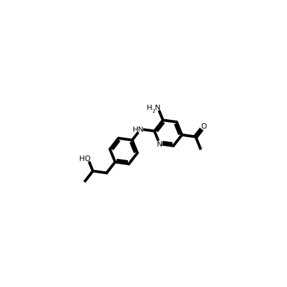 CC(=O)c1cnc(Nc2ccc(CC(C)O)cc2)c(N)c1